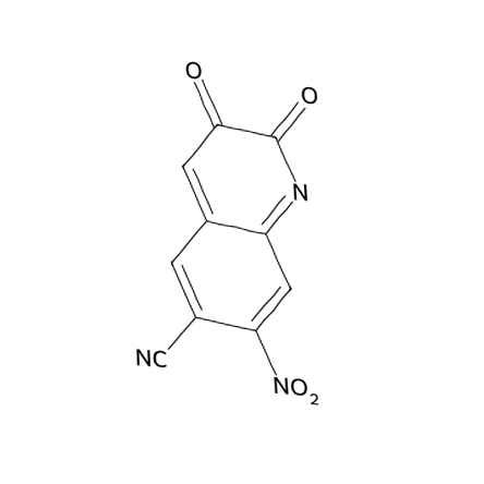 N#Cc1cc2c(cc1[N+](=O)[O-])=NC(=O)C(=O)C=2